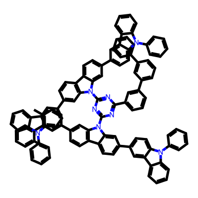 Cc1ccccc1-c1cc(-c2ccc3c4ccc(-c5ccc6c(c5)c5ccccc5n6-c5ccccc5)cc4n(-c4nc(-c5cccc(-c6cccc(-c7ccccc7)c6)c5)nc(-n5c6cc(-c7ccc8c(c7)c7ccccc7n8-c7ccccc7)ccc6c6ccc(-c7ccc8c(c7)c7ccccc7n8-c7ccccc7)cc65)n4)c3c2)ccc1C